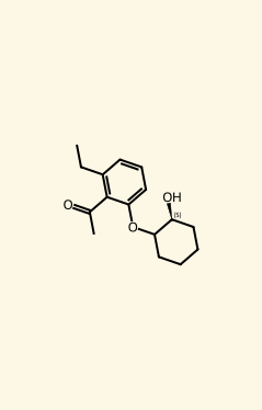 CCc1cccc(OC2CCCC[C@@H]2O)c1C(C)=O